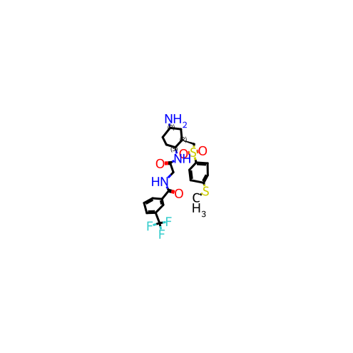 CSc1ccc(S(=O)(=O)C[C@@H]2C[C@H](N)CC[C@@H]2NC(=O)CNC(=O)c2cccc(C(F)(F)F)c2)cc1